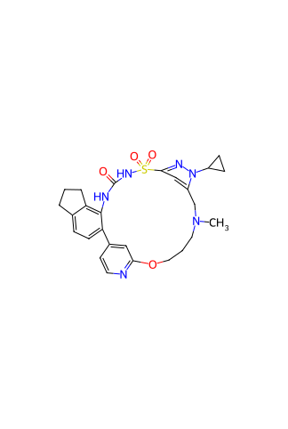 CN1CCCOc2cc(ccn2)-c2ccc3c(c2NC(=O)NS(=O)(=O)c2cc(n(C4CC4)n2)C1)CCC3